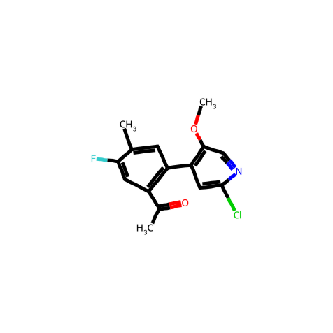 COc1cnc(Cl)cc1-c1cc(C)c(F)cc1C(C)=O